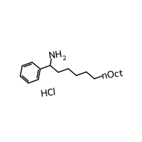 CCCCCCCCCCCCCC(N)c1ccccc1.Cl